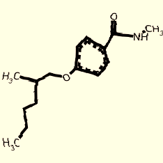 CCCCC(C)COc1ccc(C(=O)NC)cc1